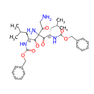 CC(C)C[C@H](NC(=O)OCc1ccccc1)C(=O)C(N)(C(=O)CN)C(=O)[C@H](CC(C)C)NC(=O)OCc1ccccc1